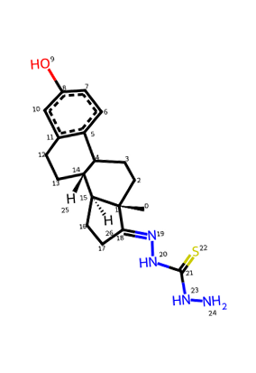 C[C@]12CCC3c4ccc(O)cc4CC[C@H]3[C@@H]1CC/C2=N\NC(=S)NN